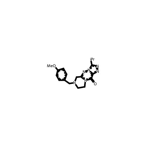 COc1ccc(CN2CCn3c(nn4c(C(C)C)nnc4c3=O)C2)cc1